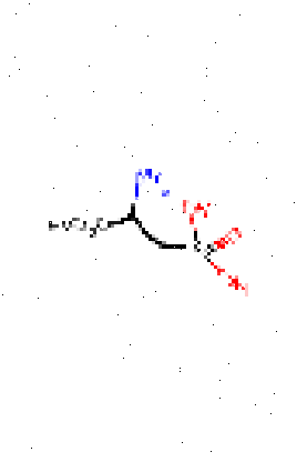 NC(C[As](=O)(O)O)C(=O)O